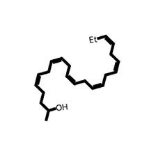 CC/C=C\C/C=C\C/C=C\C/C=C\C/C=C\C/C=C\CCC(C)O